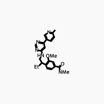 CCC(CNc1cc(-c2ccc(C)nc2)ncn1)c1ccc(C(=O)NC)cc1OC